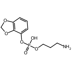 NCCCOP(=O)(O)Oc1cccc2c1OCO2